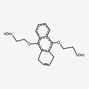 CCCCCCCCCCCCOc1c2c(c(OCCCCCCCCCCCC)c3ccccc13)CC=CC2